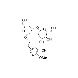 COc1ccc(CCO[C@H]2C[C@@H](O[C@H]3C[C@@H](O)[C@H](O)[C@@H](CO)O3)C[C@@H](CO)O2)cc1O